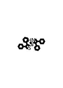 C[Si](C)(c1[nH]cc(-c2ccccc2)c1-c1ccccc1)c1scc(-c2ccccc2)c1-c1ccccc1